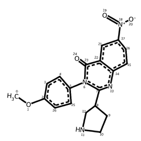 COc1ccc(-n2c(C3CCNC3)nc3ccc([N+](=O)[O-])cc3c2=O)cc1